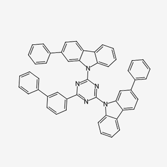 c1ccc(-c2cccc(-c3nc(-n4c5ccccc5c5ccc(-c6ccccc6)cc54)nc(-n4c5ccccc5c5ccc(-c6ccccc6)cc54)n3)c2)cc1